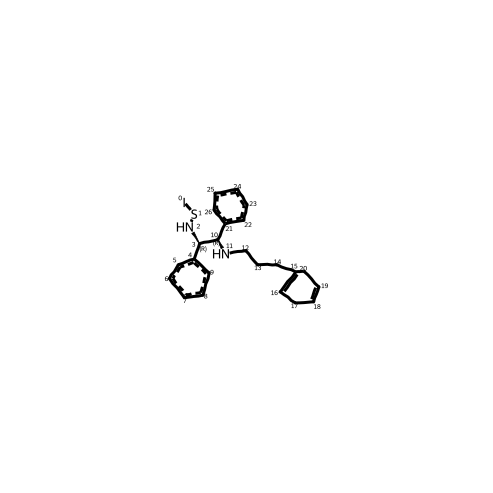 ISN[C@H](c1ccccc1)[C@H](NCCCC1=CCC=CC1)c1ccccc1